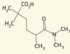 CC(CCC(C)(C)C(=O)O)C(=O)N(C)C